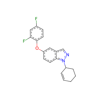 Fc1ccc(Oc2ccc3c(cnn3C3C=CCCC3)c2)c(F)c1